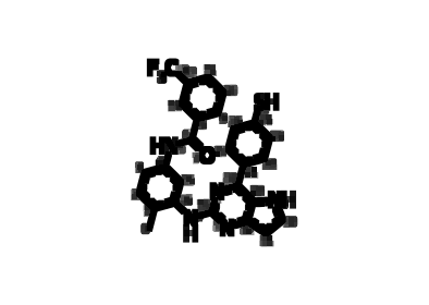 Cc1ccc(NC(=O)c2cccc(C(F)(F)F)c2)cc1Nc1nc(-c2ccc(S)cc2)c2[nH]ccc2n1